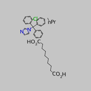 CCCC.Clc1ccccc1C(c1ccccc1)(c1ccccc1)n1ccnc1.O=C(O)CCCCCCCCC(=O)O